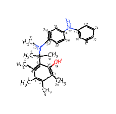 Cc1c(C)c(C)c(C(C)(C)N(C)c2ccc(Nc3ccccc3)cc2)c(O)c1C